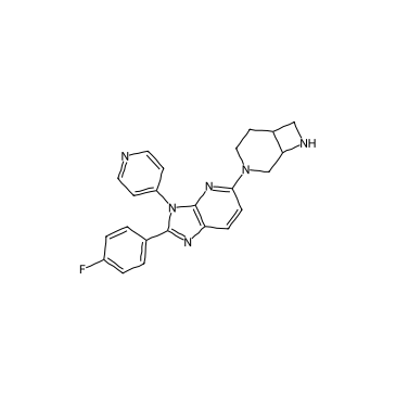 Fc1ccc(-c2nc3ccc(N4CCC5CNC5C4)nc3n2-c2ccncc2)cc1